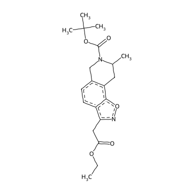 CCOC(=O)Cc1noc2c3c(ccc12)CN(C(=O)OC(C)(C)C)C(C)C3